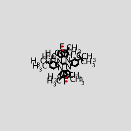 Cc1cc(N2/C(=C3/N(c4cc(C)c(F)c(C)c4)c4ccc(C(C)(C)C)cc4N3c3cc(C)c(F)c(C)c3)N(c3cc(C)c(F)c(C)c3)c3ccc(C(C)(C)C)cc32)c(C)cc1F